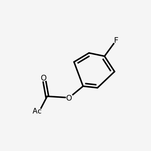 CC(=O)C(=O)Oc1ccc(F)cc1